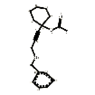 CC(=O)OC1(C#CCOCc2ccccc2)CCCCC1